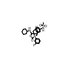 CS(=O)(=O)Nc1cccc(C[N+]2(c3cccc(F)c3)C(=O)N=C(NC3CCCCC3)C23CCNCC3)c1